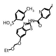 CCOCOc1ccc2nc(NC(=O)c3ccc(I)cn3)sc2c1.Cc1ccc(S(=O)(=O)O)cc1